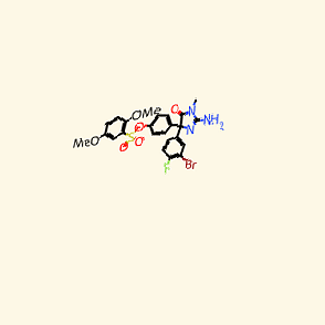 COc1ccc(OC)c(S(=O)(=O)Oc2ccc(C3(c4ccc(F)c(Br)c4)N=C(N)N(C)C3=O)cc2)c1